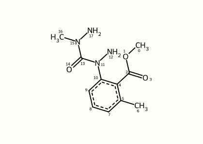 COC(=O)c1c(C)cccc1N(N)C(=O)N(C)N